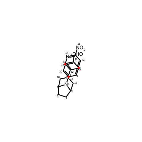 O=Cc1ccc(N2C3CCC2CN(c2ccc([N+](=O)[O-])nc2)C3)cc1